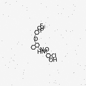 O=C(N/N=C/c1ccc(COCc2ccc(OC(F)(F)F)cc2)c2ccccc12)c1ccc(O)c(Cl)c1